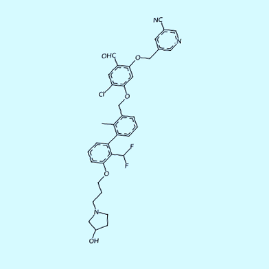 Cc1c(COc2cc(OCc3cncc(C#N)c3)c(C=O)cc2Cl)cccc1-c1cccc(OCCCN2CCC(O)C2)c1C(F)F